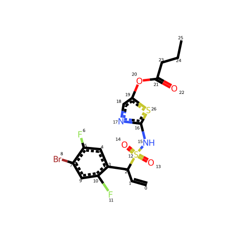 C=CC(c1cc(F)c(Br)cc1F)S(=O)(=O)Nc1ncc(OC(=O)CCC)s1